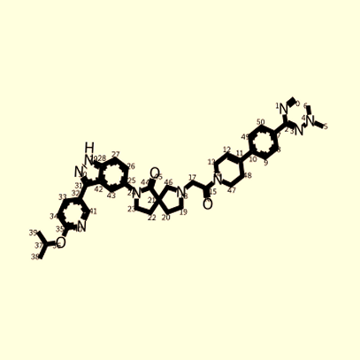 C=N/C(=N\N(C)C)c1ccc(C2=CCN(C(=O)CN3CCC4(CCN(c5ccc6[nH]nc(-c7ccc(OC(C)C)nc7)c6c5)C4=O)C3)CC2)cc1